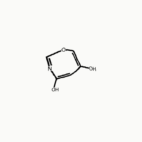 OC1=COC=NC(O)=C1